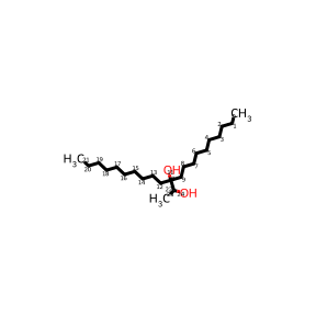 CCCCCCCCCCC(O)(CCCCCCCCCC)C(C)O